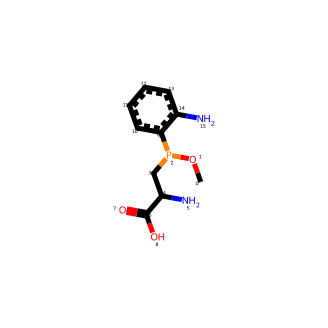 COP(CC(N)C(=O)O)c1ccccc1N